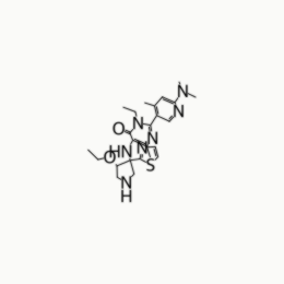 CCO[C@H]1CNC[C@]1(Nc1c(C)nc(-c2cnc(N(C)C)cc2C)n(CC)c1=O)c1nccs1